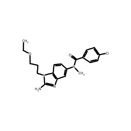 CCOCCCn1c(N)nc2cc(N(C)C(=O)c3ccc(Cl)cc3)ccc21